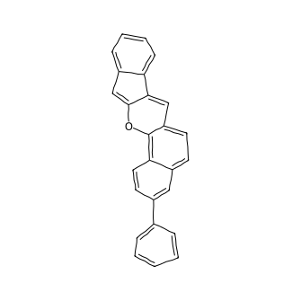 c1ccc(-c2ccc3c(ccc4cc5c6ccccc6cc-5oc43)c2)cc1